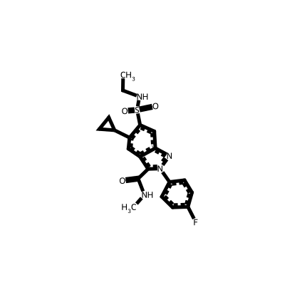 CCNS(=O)(=O)c1cc2nn(-c3ccc(F)cc3)c(C(=O)NC)c2cc1C1CC1